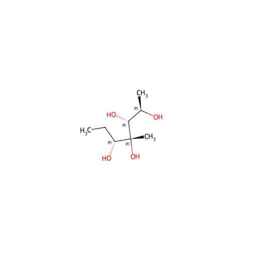 CC[C@@H](O)[C@@](C)(O)[C@H](O)[C@@H](C)O